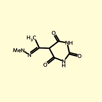 CNN=C(C)C1C(=O)NC(=O)NC1=O